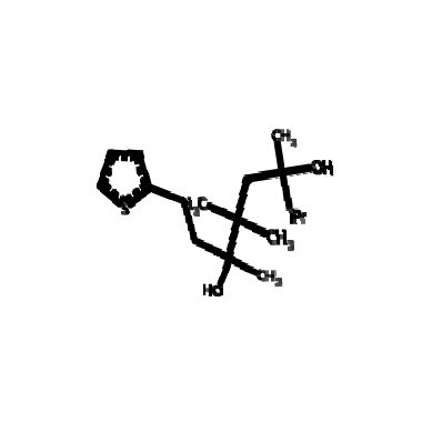 CC(C)C(C)(O)CC(C)(C)C(C)(O)CCc1cccs1